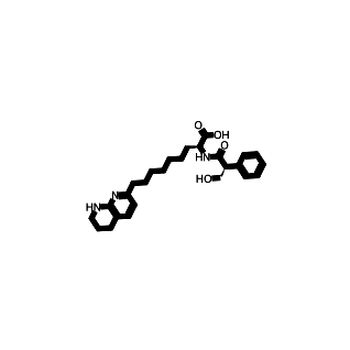 O=C(O)[C@H](CCCCCCCc1ccc2c(n1)NCCC2)NC(=O)[C@@H](CO)c1ccccc1